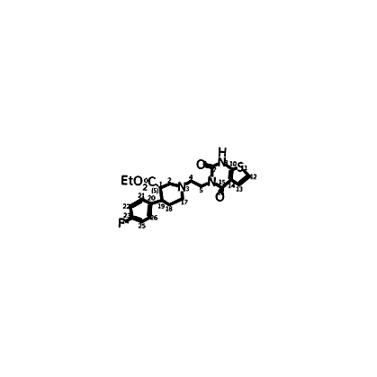 CCOC(=O)[C@@H]1CN(CCn2c(=O)[nH]c3sccc3c2=O)CCC1c1ccc(F)cc1